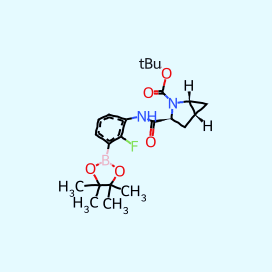 CC(C)(C)OC(=O)N1[C@@H]2C[C@@H]2C[C@H]1C(=O)Nc1cccc(B2OC(C)(C)C(C)(C)O2)c1F